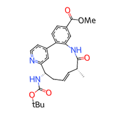 COC(=O)c1ccc2c(c1)NC(=O)[C@H](C)/C=C/C[C@H](NC(=O)OC(C)(C)C)c1cc-2ccn1